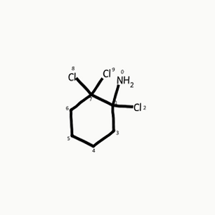 NC1(Cl)CCCCC1(Cl)Cl